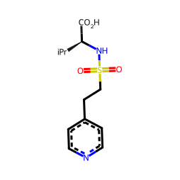 CC(C)[C@H](NS(=O)(=O)CCc1ccncc1)C(=O)O